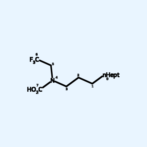 CCCCCCCCCCN(CC(F)(F)F)C(=O)O